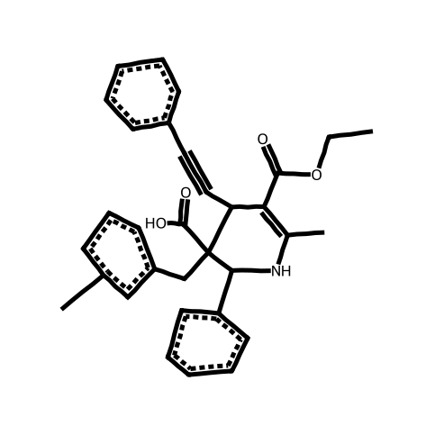 CCOC(=O)C1=C(C)NC(c2ccccc2)C(Cc2cccc(C)c2)(C(=O)O)C1C#Cc1ccccc1